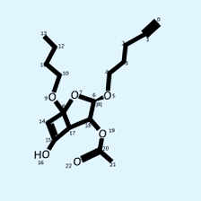 C#CCCCO[C@@H]1OC2(OCCCC)C=C(O)C2C1OC(C)=O